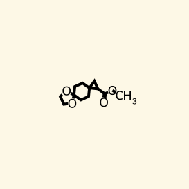 COC(=O)C1CC12CCC1(CC2)OCCO1